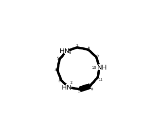 C1#CNCCCNCCCNC1